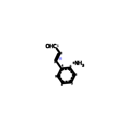 N.O=C/C=C/c1ccccc1